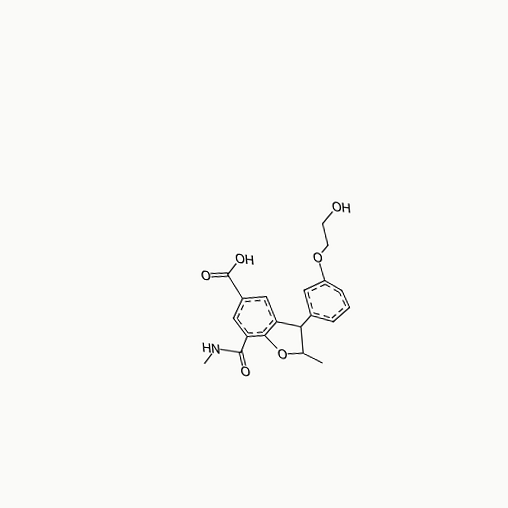 CNC(=O)c1cc(C(=O)O)cc2c1OC(C)C2c1cccc(OCCO)c1